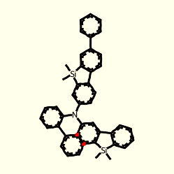 C[Si]1(C)c2ccccc2-c2cc(N(c3ccc4c(c3)[Si](C)(C)c3cc(-c5ccccc5)ccc3-4)c3ccccc3-c3ccccc3)ccc21